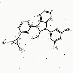 CCOC1N(c2cc(C)cc(C)c2)c2nccnc2N1c1cccc(C2=C(C)C2C)c1